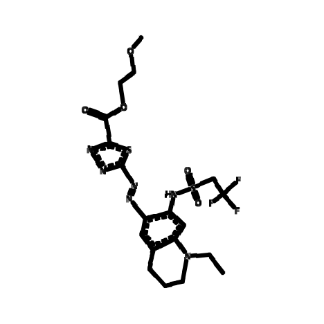 CCN1CCCc2cc(N=Nc3nnc(C(=O)OCCOC)s3)c(NS(=O)(=O)CC(F)(F)F)cc21